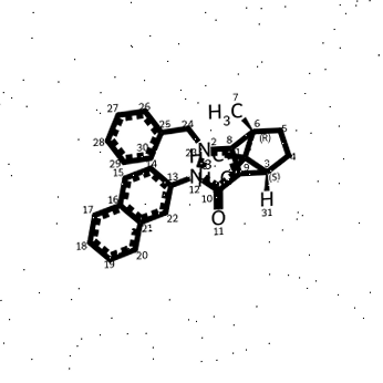 CC1(C)[C@@H]2CC[C@@]1(C)c1c2c(=O)n(-c2ccc3ccccc3c2)n1Cc1ccccc1